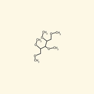 COCC(OC)C(OC)C(COC)OC